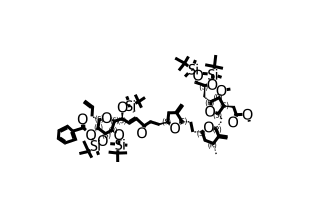 C=CC[C@@H]1O[C@@H]([C@H](C=CC(=O)CC[C@H]2CC(=C)[C@H](CC[C@H]3C[C@@H](C)C(=C)[C@@H](C[C@@H]4O[C@H](C[C@@H](CO[Si](C)(C)C(C)(C)C)O[Si](C)(C)C(C)(C)C)[C@H](OC)[C@H]4CC(=O)OC)O3)O2)O[Si](C)(C)C(C)(C)C)[C@@H](O[Si](C)(C)C(C)(C)C)[C@@H](O[Si](C)(C)C(C)(C)C)[C@H]1OC(=O)c1ccccc1